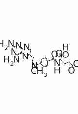 CN(CCc1cnc2nc(N)nc(N)c2n1)c1ccc(C(=O)NC(CCC(=O)O)C(=O)O)cc1